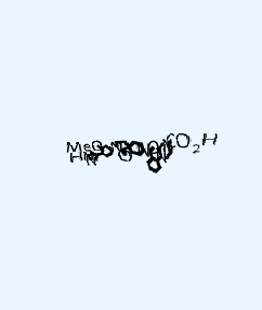 COc1cc(N2CCC3(CCN(C(=O)c4ccccc4N4CCN(C(=O)O)CC4)CC3)C2=O)ccc1-c1cn[nH]c1